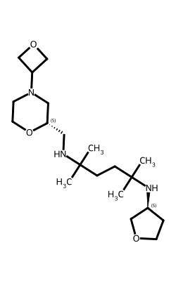 CC(C)(CCC(C)(C)N[C@H]1CCOC1)NC[C@H]1CN(C2COC2)CCO1